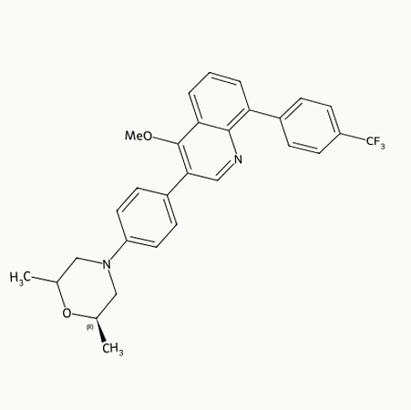 COc1c(-c2ccc(N3CC(C)O[C@H](C)C3)cc2)cnc2c(-c3ccc(C(F)(F)F)cc3)cccc12